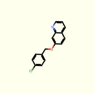 Clc1ccc(COc2ccc3cccnc3c2)cc1